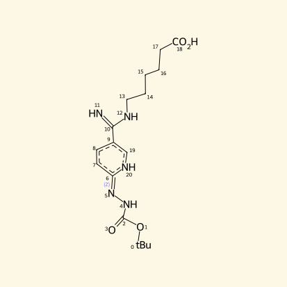 CC(C)(C)OC(=O)N/N=c1/ccc(C(=N)NCCCCCC(=O)O)c[nH]1